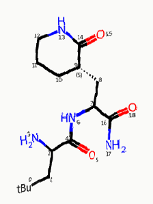 CC(C)(C)CC(N)C(=O)NC(C[C@@H]1CCCNC1=O)C(N)=O